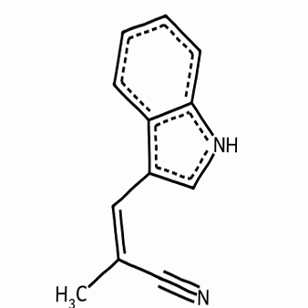 C/C(C#N)=C/c1c[nH]c2ccccc12